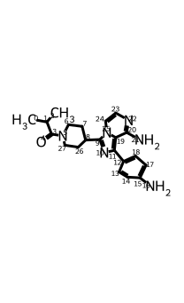 CC(C)C(=O)N1CCC(c2nc(-c3ccc(N)cc3)c3c(N)nccn23)CC1